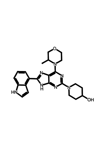 CC1COCCN1c1nc(N2CCC(O)CC2)nc2[nH]c(-c3cccc4[nH]ccc34)nc12